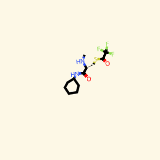 CN[C@H](CSC(=O)C(F)(F)F)C(=O)NC1CCCCC1